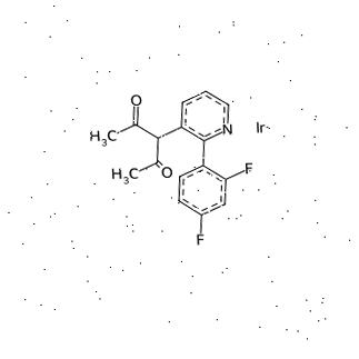 CC(=O)C(C(C)=O)c1cccnc1-c1ccc(F)cc1F.[Ir]